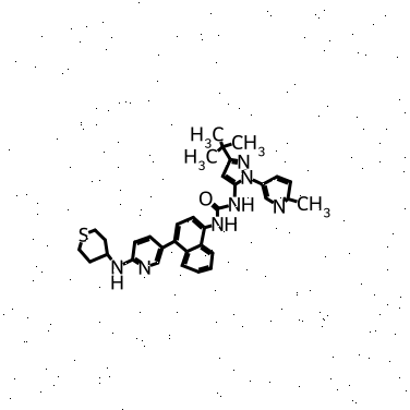 Cc1ccc(-n2nc(C(C)(C)C)cc2NC(=O)Nc2ccc(-c3ccc(NC4CCSCC4)nc3)c3ccccc23)cn1